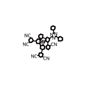 N#Cc1cc(C#N)cc(-c2ccc3c(c2)c2cc(-c4cc(C#N)cc(C#N)c4)ccc2n3-c2c(-c3ccccc3C#N)cc(-c3nc(-c4ccccc4)nc(-c4ccccc4)n3)cc2-c2ccccc2C#N)c1